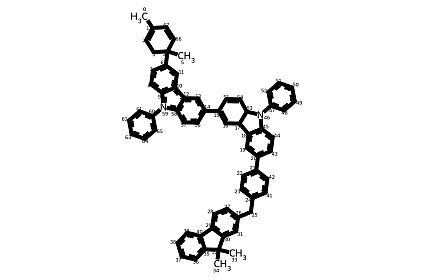 CC1=CCC(C)(c2ccc3c(c2)c2cc(C4=CC5c6cc(-c7ccc(Cc8ccc9c(c8)C(C)(C)c8ccccc8-9)cc7)ccc6N(c6ccccc6)C5C=C4)ccc2n3-c2ccccc2)C=C1